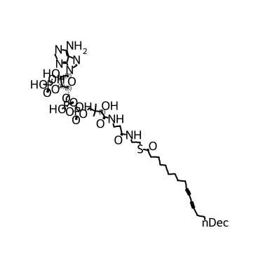 CCCCCCCCCCCCC#CC#CCCCCCCCCC(=O)SCCNC(=O)CCNC(=O)[C@H](O)C(C)(C)COP(=O)(O)OP(=O)(O)OC[C@H]1O[C@@H](n2cnc3c(N)ncnc32)[C@H](O)[C@@H]1OP(=O)(O)O